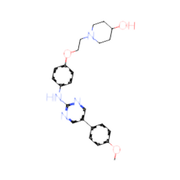 COc1ccc(-c2cnc(Nc3ccc(OCCN4CCC(O)CC4)cc3)nc2)cc1